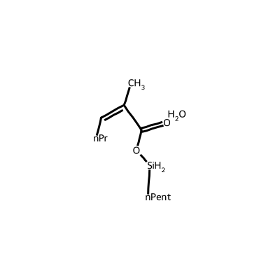 CCCC=C(C)C(=O)O[SiH2]CCCCC.O